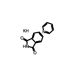 O=C1NC(=O)c2ccccc21.[KH].c1ccncc1